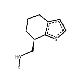 CNC[C@H]1CCCc2ccsc21